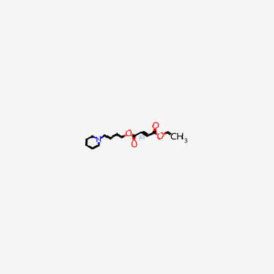 CCOC(=O)/C=C/C(=O)OCCCCN1CCCCC1